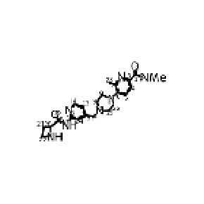 CNC(=O)c1ccc(N2CCN(Cc3ccnc(NC(=O)C4CCN4)c3)CC2)c(C)n1